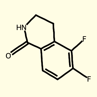 O=C1NCCc2c1ccc(F)c2F